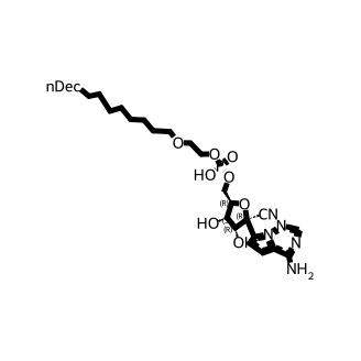 CCCCCCCCCCCCCCCCCCOCCOP(=O)(O)OC[C@H]1O[C@@](C#N)(c2ccc3c(N)ncnn23)[C@H](O)[C@@H]1O